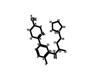 Cc1ccc(C2=NCC(O)CC2)cc1NC(C)CCN1CCCC1